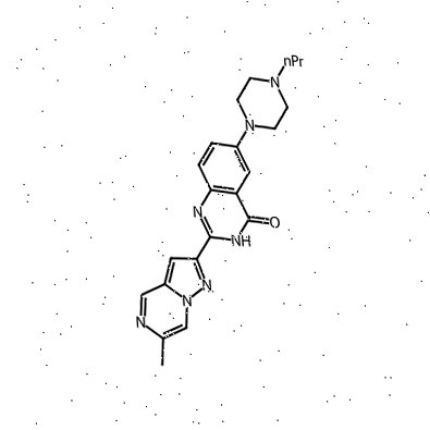 CCCN1CCN(c2ccc3nc(-c4cc5cnc(C)cn5n4)[nH]c(=O)c3c2)CC1